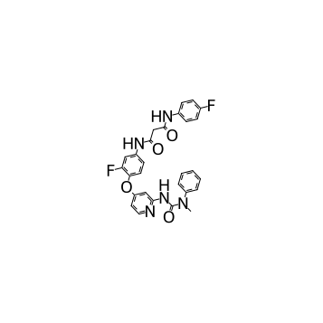 CN(C(=O)Nc1cc(Oc2ccc(NC(=O)CC(=O)Nc3ccc(F)cc3)cc2F)ccn1)c1ccccc1